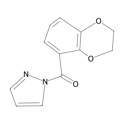 O=C(c1cccc2c1OCCO2)n1cccn1